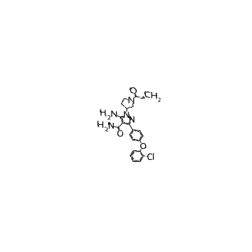 C=CC(=O)N1CCC(n2nc(-c3ccc(Oc4ccccc4Cl)cc3)c(C(N)=O)c2N)C1